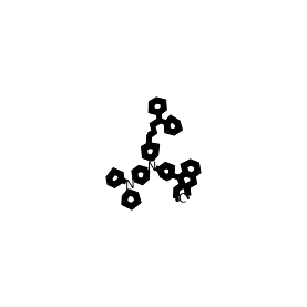 C(=Cc1ccc(N(c2ccc(-c3c4ccccc4cc4ccccc34)cc2)c2ccc(N(c3ccccc3)c3ccccc3)cc2)cc1)C=C(c1ccccc1)c1ccccc1